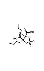 CCCC[C@@]1(C(=O)O)OS(=O)(=O)O[C@@]1(CCCC)C(=O)O